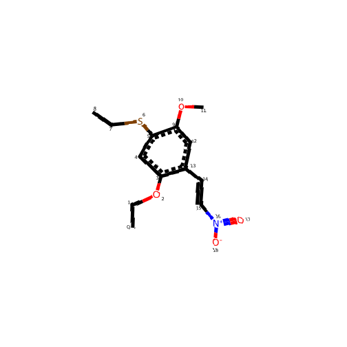 CCOc1cc(SCC)c(OC)cc1C=C[N+](=O)[O-]